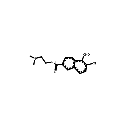 CN(C)CCNC(=O)c1ccc2c(C=O)c(O)ccc2c1